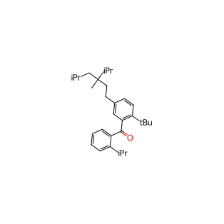 CC(C)CC(C)(CCc1ccc(C(C)(C)C)c(C(=O)c2ccccc2C(C)C)c1)C(C)C